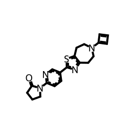 O=C1CCCN1c1ccc(-c2nc3c(s2)CCN(C2=CC=C2)CC3)cn1